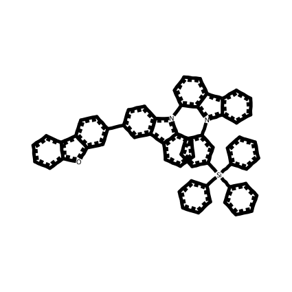 c1ccc([Si](c2ccccc2)(c2ccccc2)c2cccc(-n3c4ccccc4c4cccc(-n5c6ccccc6c6cc(-c7ccc8c(c7)oc7ccccc78)ccc65)c43)c2)cc1